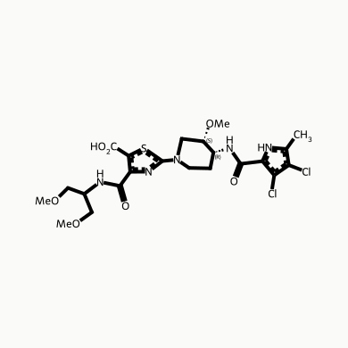 COCC(COC)NC(=O)c1nc(N2CC[C@@H](NC(=O)c3[nH]c(C)c(Cl)c3Cl)[C@@H](OC)C2)sc1C(=O)O